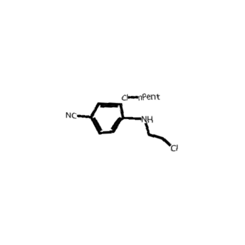 CCCCCCl.N#Cc1ccc(NCCCl)cc1